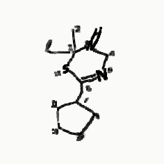 CC1(C)NCN=C(C2CCCC2)S1